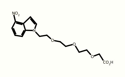 O=C(O)COCCOCCOCCn1ccc2c([N+](=O)[O-])cccc21